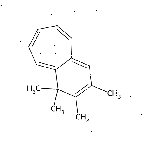 CC1=C(C)C(C)(C)C2=CC=CC=CC2=C1